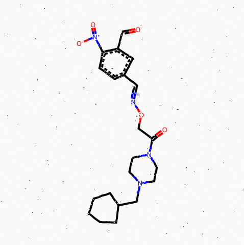 O=Cc1cc(/C=N/OCC(=O)N2CCN(CC3CCCCC3)CC2)ccc1[N+](=O)[O-]